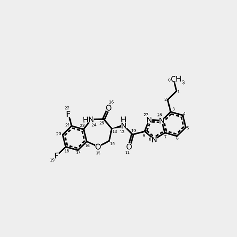 CCCc1cccc2nc(C(=O)N[C@H]3COc4cc(F)cc(F)c4NC3=O)nn12